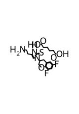 NCCc1cn([C@H]2COc3c(F)cc(F)cc3C2)c(=S)[nH]1.O=C(O)CCCCC(=O)O